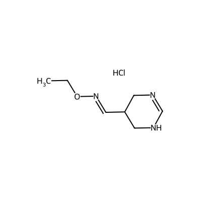 CCON=CC1CN=CNC1.Cl